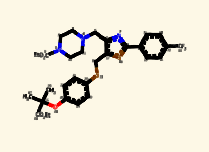 CCOC(=O)N1CCN(Cc2nc(-c3ccc(C(F)(F)F)cc3)sc2CSc2ccc(OC(C)(C)C(=O)OCC)cc2)CC1